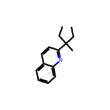 CCC(C)(CC)c1ccc2ccccc2n1